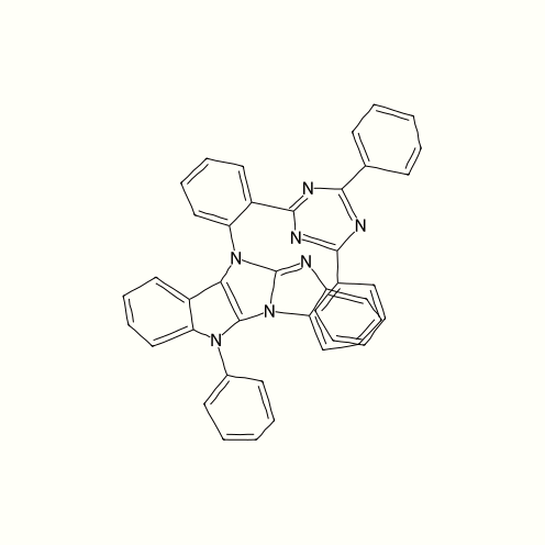 c1ccc(-c2nc(-c3ccccc3)nc(-c3ccccc3-n3c4c5ccccc5n(-c5ccccc5)c4n4c5ccccc5nc34)n2)cc1